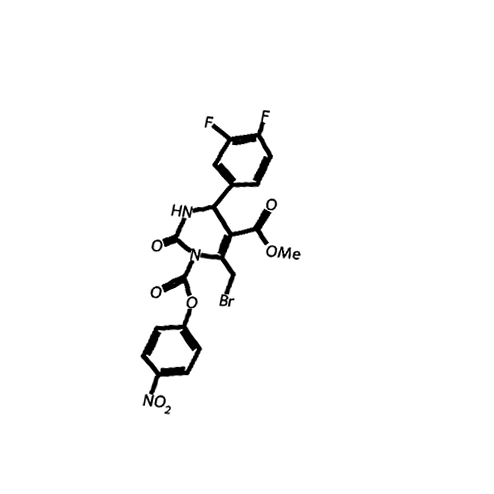 COC(=O)C1=C(CBr)N(C(=O)Oc2ccc([N+](=O)[O-])cc2)C(=O)NC1c1ccc(F)c(F)c1